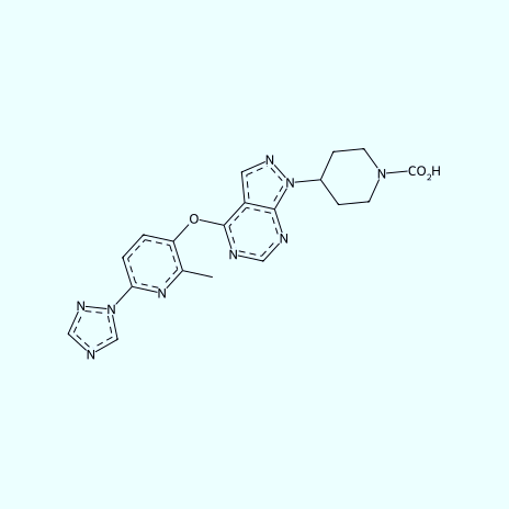 Cc1nc(-n2cncn2)ccc1Oc1ncnc2c1cnn2C1CCN(C(=O)O)CC1